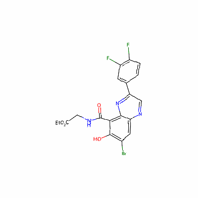 CCOC(=O)CNC(=O)c1c(O)c(Br)cc2ncc(-c3ccc(F)c(F)c3)nc12